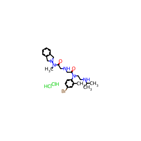 Cc1cc(Br)ccc1N(CCNC(C)C)C(=O)CNCC(=O)N(C)N1Cc2ccccc2C1.Cl.Cl